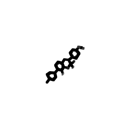 COc1ccc(C2Cc3ccc(-c4ccc(C)cc4)c(F)c3OC2(F)F)cc1